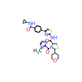 Cn1ccnc1C(=O)N1C(C(=O)Nc2nc(-c3ccc(C(=O)NC4CC4)cc3)cs2)CSC1C1CCOCC1